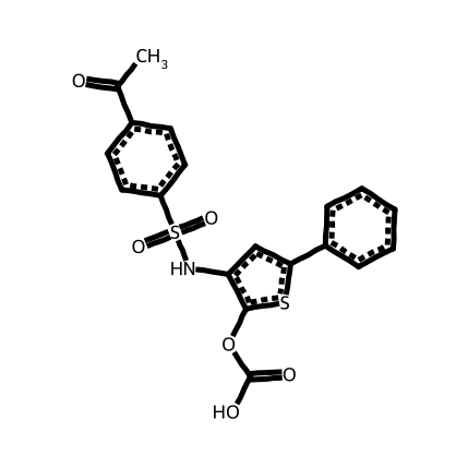 CC(=O)c1ccc(S(=O)(=O)Nc2cc(-c3ccccc3)sc2OC(=O)O)cc1